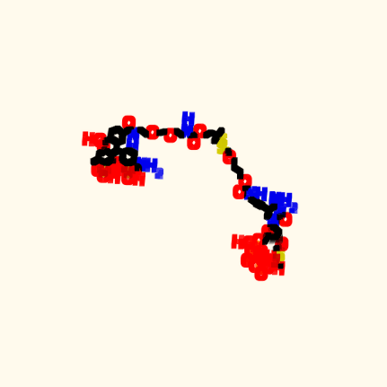 C=c1ccc2c(c1S(=O)(=O)O)Oc1c(ccc(N)c1S(=O)(=O)O)C=2c1cc(C(=O)NCCOCCOCCNC(=O)OCCC(C)(C)SSCOCCCCOC(=O)NCC#Cc2cn(C3C[C@H](OCSSC)[C@@H](COP(=O)(O)OP(=O)(O)OP(=O)(O)O)O3)c(=O)nc2N)ccc1C(=O)O